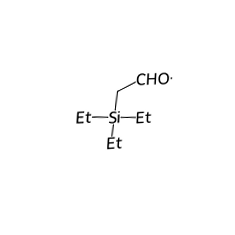 CC[Si](CC)(CC)C[C]=O